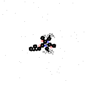 CC(C)(C)c1ccc(N2B3c4cc5oc6ccccc6c5cc4-n4c5ccc(C(C)(C)C)cc5c5c6c(oc7ccccc76)c(c3c54)-c3cc4oc5cc(C/C(=C/c6ccccc6)c6ccccc6)ccc5c4cc32)cc1